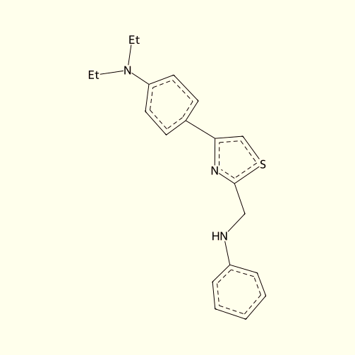 CCN(CC)c1ccc(-c2csc(CNc3ccccc3)n2)cc1